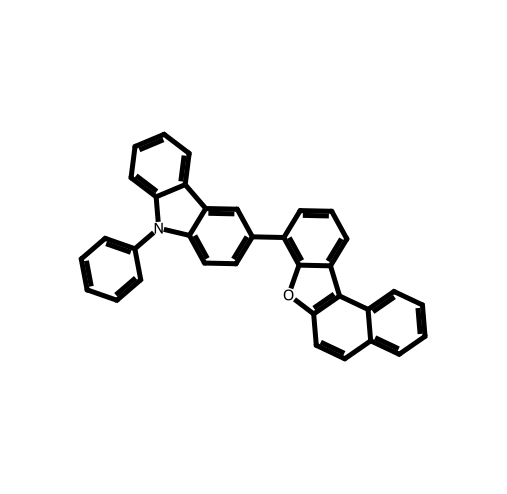 c1ccc(-n2c3ccccc3c3cc(-c4cccc5c4oc4ccc6ccccc6c45)ccc32)cc1